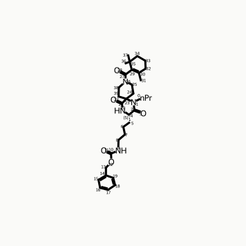 CCCN1C(=O)[C@H](CCCCNC(=O)OCc2ccccc2)NC(=O)C12CCN(C(=O)C1=C(C)CCCC1(C)C)CC2